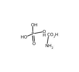 NC(=O)O.O=P(O)(O)O